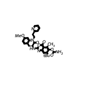 COc1ccc(C[C@H](Nc2nc3cc(C(C)(C)C)c(OC(N)=O)c(C)c3c(=O)o2)C(=O)NCCc2ccccn2)cc1